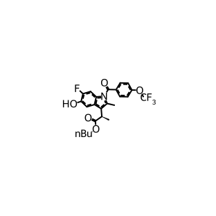 CCCCOC(=O)[C@H](C)c1c(C)n(C(=O)c2ccc(OC(F)(F)F)cc2)c2cc(F)c(O)cc12